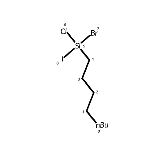 CCCCCCCC[Si](Cl)(Br)I